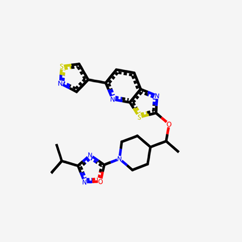 CC(C)c1noc(N2CCC(C(C)Oc3nc4ccc(-c5cnsc5)nc4s3)CC2)n1